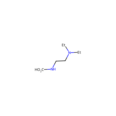 CCN(CC)CCNC(=O)O